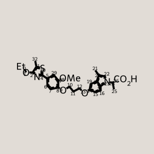 CCOc1nc(-c2ccc(OCCCOc3ccc4c(c3)c(C)cn4C(C)C(=O)O)c(OC)c2)sc1C